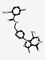 COc1ccc(F)cc1C(=O)NCc1ccc(-n2nc(C)c3c(=O)[nH]nc(N)c32)cc1